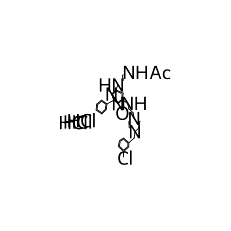 CC(=O)NCCNc1cc(NC(=O)CN2CCN(Cc3cccc(Cl)c3)CC2)nc(-c2ccccc2)n1.Cl.Cl.Cl